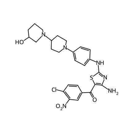 Nc1nc(Nc2ccc(N3CCC(N4CCCC(O)C4)CC3)cc2)sc1C(=O)c1ccc(Cl)c([N+](=O)[O-])c1